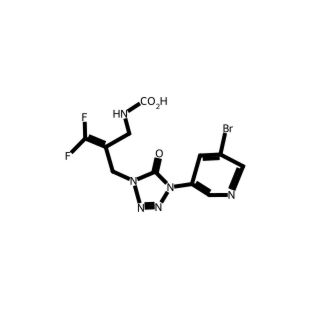 O=C(O)NCC(Cn1nnn(-c2cncc(Br)c2)c1=O)=C(F)F